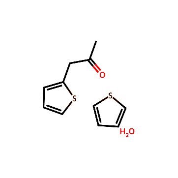 CC(=O)Cc1cccs1.O.c1ccsc1